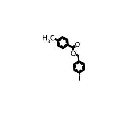 Cc1ccc(C(=O)OCc2ccc(I)cc2)cc1